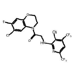 N#Cc1c(C(F)(F)F)cc(C(F)(F)F)nc1NCC(=O)N1CCOc2cc(F)c(Cl)cc21